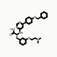 CN(C)CCOc1cccc(C[C@H](Nc2cc(-c3ccc(OCc4ccccc4)cc3)ncn2)C(=O)O)c1